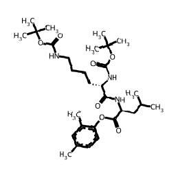 Cc1ccc(OC(=O)[C@H](CC(C)C)NC(=O)[C@H](CCCCNC(=O)OC(C)(C)C)NC(=O)OC(C)(C)C)c(C)c1